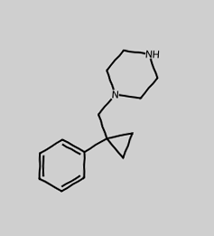 c1ccc(C2(CN3CCNCC3)CC2)cc1